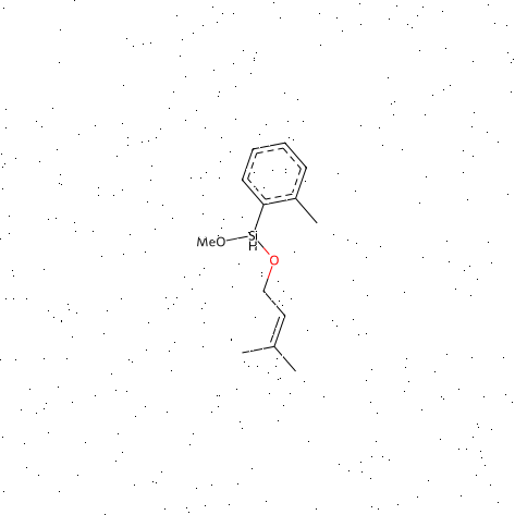 CO[SiH](OCC=C(C)C)c1ccccc1C